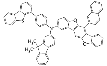 CC1(C)c2ccccc2-c2ccc(N(c3ccc(-c4cccc5c4sc4ccccc45)cc3)c3ccc4oc5c(-c6ccc7ccccc7c6)c6c(cc5c4c3)oc3ccccc36)cc21